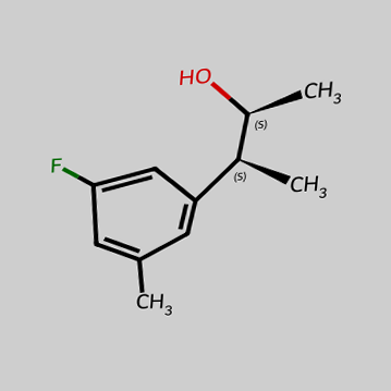 Cc1cc(F)cc([C@H](C)[C@H](C)O)c1